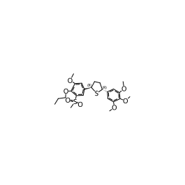 CCCOc1c(OC)cc([C@H]2CC[C@H](c3cc(OC)c(OC)c(OC)c3)S2)cc1S(C)(=O)=O